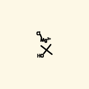 CC(C)(C)O.[Mg+2][Cl]